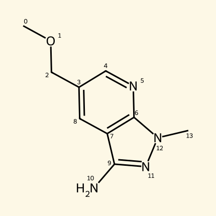 COCc1cnc2c(c1)c(N)nn2C